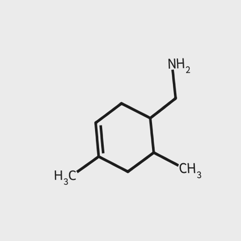 CC1=CCC(CN)C(C)C1